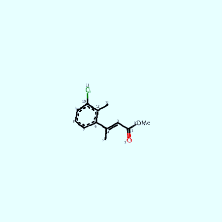 COC(=O)C=C(C)c1cccc(Cl)c1C